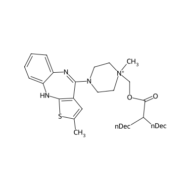 CCCCCCCCCCC(CCCCCCCCCC)C(=O)OC[N+]1(C)CCN(C2=Nc3ccccc3Nc3sc(C)cc32)CC1